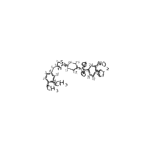 Cc1ccc(Cc2csc(N3CCC(S(=O)(=O)c4ccc(Cl)c([N+](=O)[O-])c4)CC3)n2)cc1C